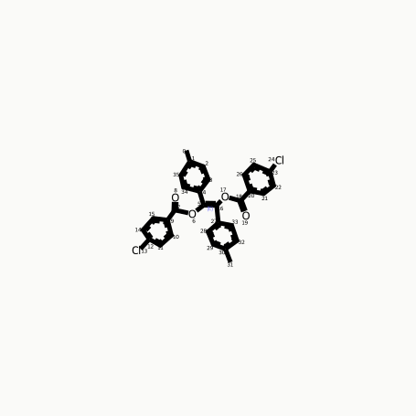 Cc1ccc(/C(OC(=O)c2ccc(Cl)cc2)=C(\OC(=O)c2ccc(Cl)cc2)c2ccc(C)cc2)cc1